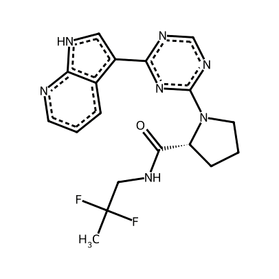 CC(F)(F)CNC(=O)[C@H]1CCCN1c1ncnc(-c2c[nH]c3ncccc23)n1